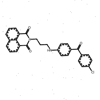 O=C(c1ccc(Cl)cc1)c1ccc(NCCCN2C(=O)c3cccc4cccc(c34)C2=O)cc1